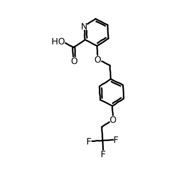 O=C(O)c1ncccc1OCc1ccc(OCC(F)(F)F)cc1